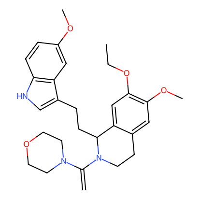 C=C(N1CCOCC1)N1CCc2cc(OC)c(OCC)cc2C1CCc1c[nH]c2ccc(OC)cc12